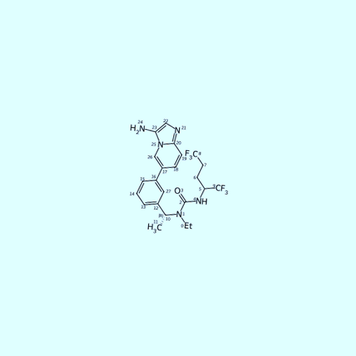 CCN(C(=O)NC(CCC(F)(F)F)C(F)(F)F)[C@H](C)c1cccc(-c2ccc3ncc(N)n3c2)c1